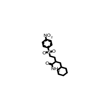 NC(=O)C(CCS(=O)(=O)c1ccc([N+](=O)[O-])cc1)CC1CCCCC1